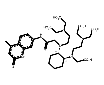 O=C(O)CN(CCN(CC(=O)O)[C@H]1CCCC[C@@H]1N(CCN(CC(=O)O)CC(=O)O)CC(=O)Nc1ccc2c(I)cc(=O)[nH]c2c1)CC(=O)O